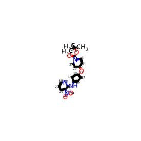 CC(C)(C)OC(=O)N1CCC(Oc2ccc(Nc3ncccc3[N+](=O)[O-])cc2)CC1